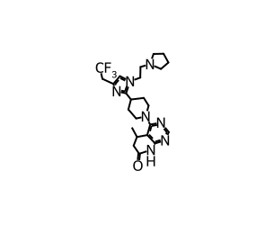 CC1CC(=O)Nc2ncnc(N3CCC(c4nc(CC(F)(F)F)cn4CCN4CCCC4)CC3)c21